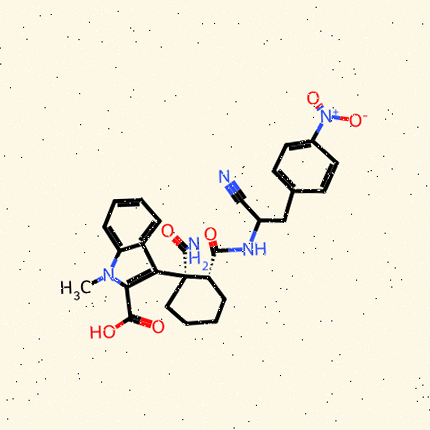 Cn1c(C(=O)O)c([C@]2(C(N)=O)CCCC[C@H]2C(=O)NC(C#N)Cc2ccc([N+](=O)[O-])cc2)c2ccccc21